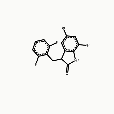 O=C1Nc2c(Br)cc(Br)cc2C1Cc1c(F)cccc1F